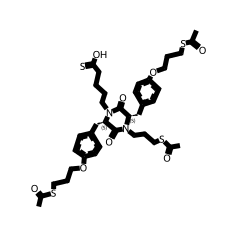 CC(=O)SCCCOc1ccc(C[C@H]2C(=O)N(CCCSC(C)=O)[C@@H](Cc3ccc(OCCCSC(C)=O)cc3)C(=O)N2CCCCC(O)=S)cc1